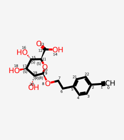 C#Cc1ccc(CCO[C@@H]2O[C@H](C(=O)O)[C@@H](O)[C@H](O)[C@H]2O)cc1